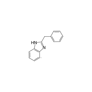 [c]1cccc2[nH]c(Cc3ccccc3)nc12